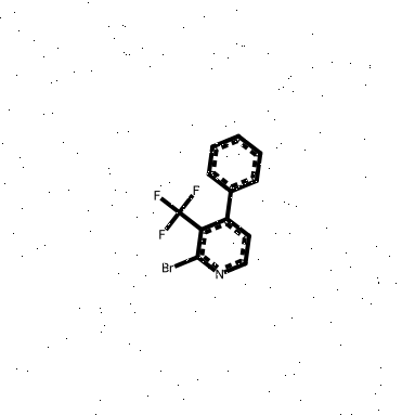 FC(F)(F)c1c(-c2ccccc2)ccnc1Br